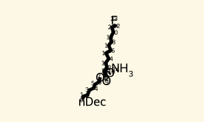 CCCCCCCCCCCCCCCCOS(=O)(=O)CCCCCCCCCCCCF.N